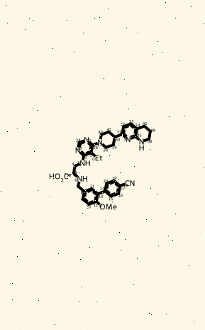 CCc1c(NC[C@H](NCc2ccc(OC)c(-c3ccc(C#N)cc3)c2)C(=O)O)ncnc1N1CCC(c2ccc3c(n2)NCCC3)CC1